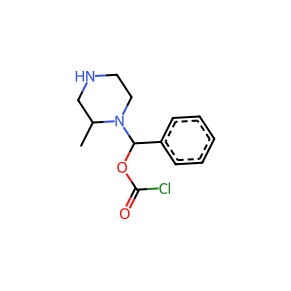 CC1CNCCN1C(OC(=O)Cl)c1ccccc1